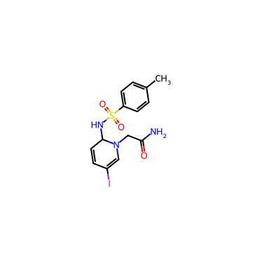 Cc1ccc(S(=O)(=O)NC2C=CC(I)=CN2CC(N)=O)cc1